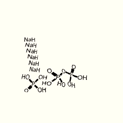 O=P(O)(O)O.O=P(O)(O)OP(=O)(O)O.[NaH].[NaH].[NaH].[NaH].[NaH].[NaH]